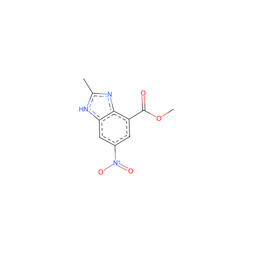 COC(=O)c1cc([N+](=O)[O-])cc2[nH]c(C)nc12